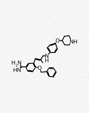 C/C(=C\c1cc(C(=N)N)ccc1OCc1ccccc1)CNc1ccc(OC2CCNCC2)cc1